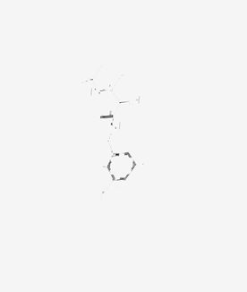 CC(C)NC(C)C(O)C(=O)NCc1cccc(Cl)c1